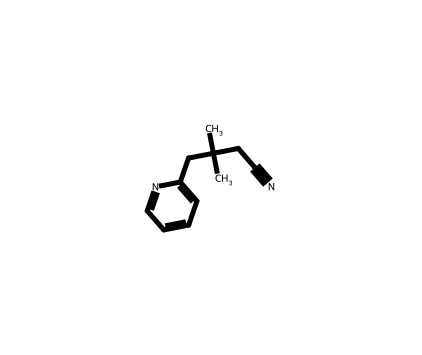 CC(C)(CC#N)Cc1ccccn1